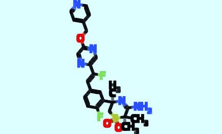 CC1(c2cc(C=C(F)c3cnc(OCc4ccncc4)cn3)ccc2F)CS(=O)(=O)C(C)(C)C(N)=N1